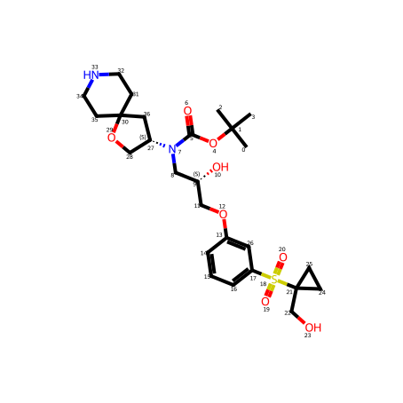 CC(C)(C)OC(=O)N(C[C@H](O)COc1cccc(S(=O)(=O)C2(CO)CC2)c1)[C@@H]1COC2(CCNCC2)C1